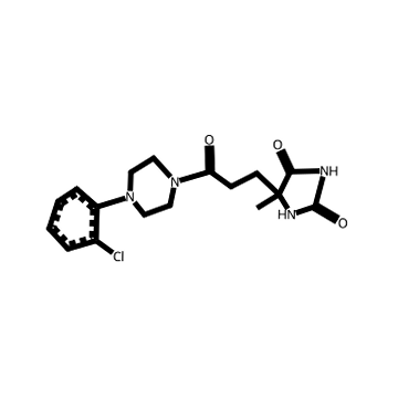 CC1(CCC(=O)N2CCN(c3ccccc3Cl)CC2)NC(=O)NC1=O